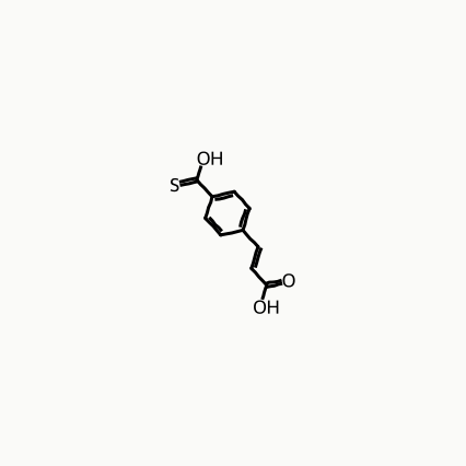 O=C(O)C=Cc1ccc(C(O)=S)cc1